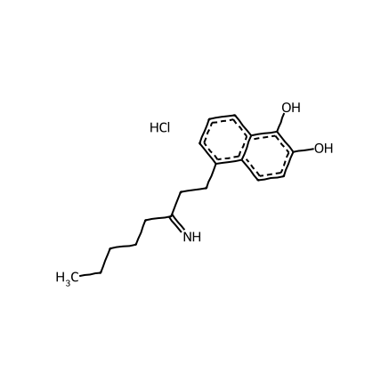 CCCCCC(=N)CCc1cccc2c(O)c(O)ccc12.Cl